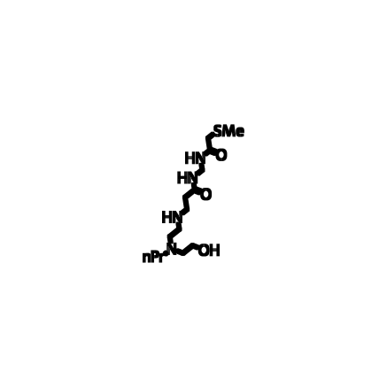 CCCN(CCO)CCNCCC(=O)NCNC(=O)CSC